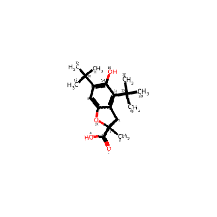 CC1(C(=O)O)Cc2c(cc(C(C)(C)C)c(O)c2C(C)(C)C)O1